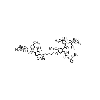 C=C1C[C@@H](CO[Si](C)(C)C(C)(C)C)N(C(=O)c2cc(OC)c(OCCCCCOc3cc(NC(=O)OCC4(SSCC)CCC4)c(C(=O)N4CC(C)(C)C[C@H]4CO[Si](C)(C)C(C)(C)C)cc3OC)cc2N)C1